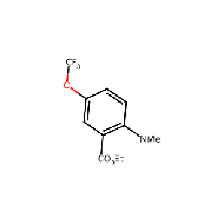 CCOC(=O)c1cc(OC(F)(F)F)ccc1NC